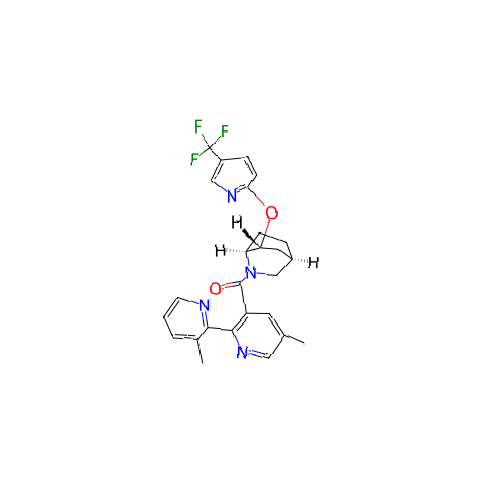 Cc1cnc(-c2ncccc2C)c(C(=O)N2C[C@@H]3CC[C@H]2[C@H](Oc2ccc(C(F)(F)F)cn2)C3)c1